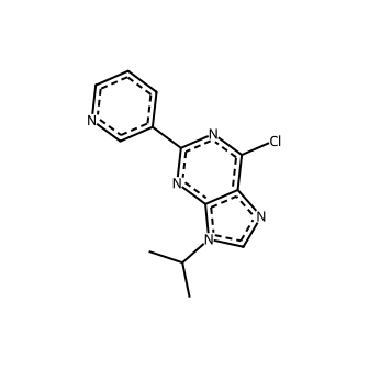 CC(C)n1cnc2c(Cl)nc(-c3cccnc3)nc21